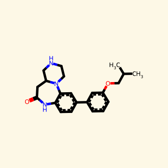 CC(C)COc1cccc(-c2ccc3c(c2)N2CCNCC2CC(=O)N3)c1